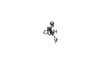 Cc1cc(C#Cc2ccc(F)cc2)cnc1NC(=O)c1c(Cl)cnn1CC1CCN(C(=O)C(C)C)CC1C